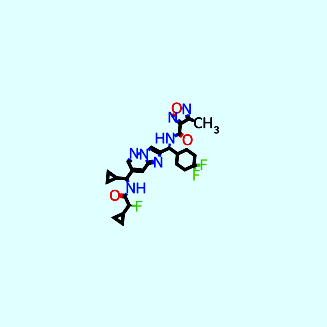 Cc1nonc1C(=O)N[C@H](c1cn2ncc(C(NC(=O)[C@@H](F)C3CC3)C3CC3)cc2n1)C1CCC(F)(F)CC1